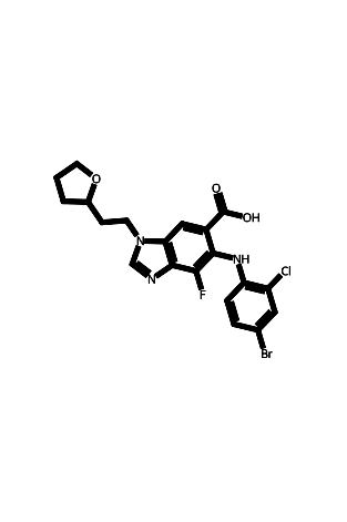 O=C(O)c1cc2c(ncn2CCC2CCCO2)c(F)c1Nc1ccc(Br)cc1Cl